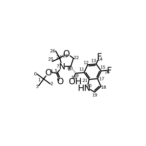 CC(C)(C)OC(=O)N1[C@@H](C(O)c2cc(F)c(F)c3cc[nH]c23)COC1(C)C